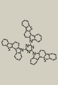 c1ccc2c(c1)sc1c2ccc2c1c1ccccc1n2-c1nc(-n2c3ccccc3c3c4sc5ccccc5c4ccc32)nc(-n2c3ccccc3c3c4sc5ccccc5c4ccc32)n1